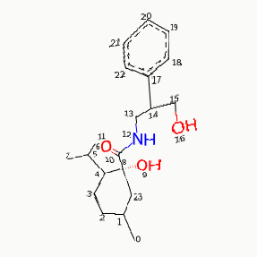 CC1CCC(C(C)C)[C@@](O)(C(=O)NCC(CO)c2ccccc2)C1